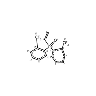 C=CP(=O)(c1ccccc1C(F)(F)F)c1ccccc1C(F)(F)F